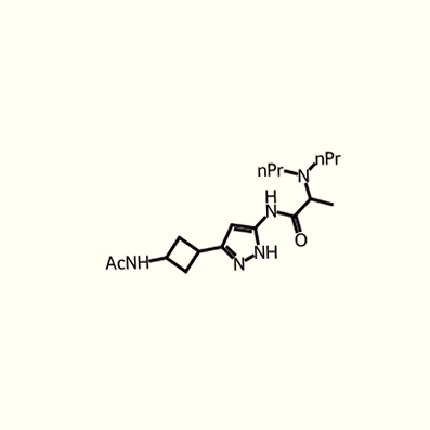 CCCN(CCC)C(C)C(=O)Nc1cc(C2CC(NC(C)=O)C2)n[nH]1